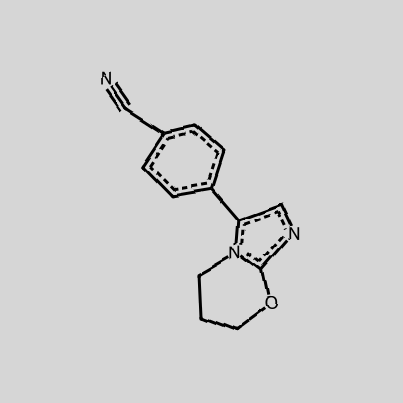 N#Cc1ccc(-c2cnc3n2CCCO3)cc1